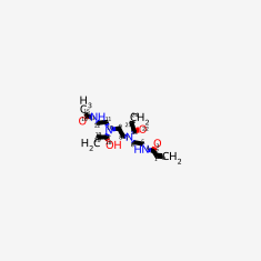 C=CC(=O)NCCN(CCN(CCNC(C)=O)C(O)C=C)C(=O)C=C